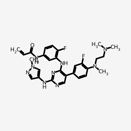 C=CC(=O)Nc1ccc(F)c(Nc2nc(Nc3cnn(C)c3)ncc2-c2ccc(N(C)CCN(C)C)c(F)c2)c1